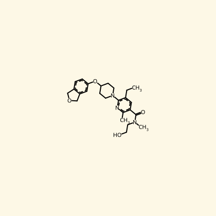 CCc1cc(C(=O)N(C)CCO)c(C)nc1N1CCC(Oc2ccc3c(c2)COC3)CC1